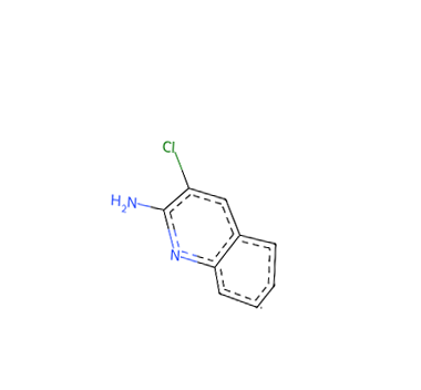 Nc1nc2c[c]ccc2cc1Cl